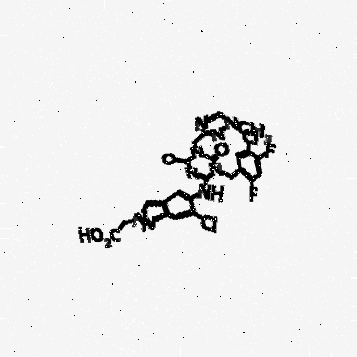 Cn1cnc(Cn2c(=O)nc(Nc3cc4cn(CC(=O)O)nc4cc3Cl)n(Cc3cc(Cl)c(F)cc3F)c2=O)n1